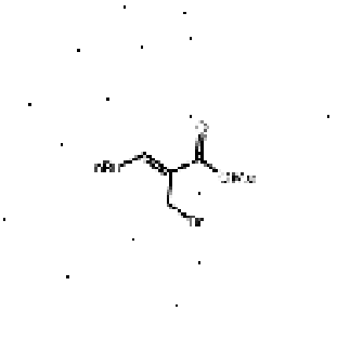 CCCC/C=C(\CBr)C(=O)OC